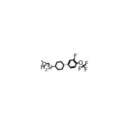 COC[SiH2][C@H]1CC[C@H](c2ccc(OC(F)(F)F)c(F)c2)CC1